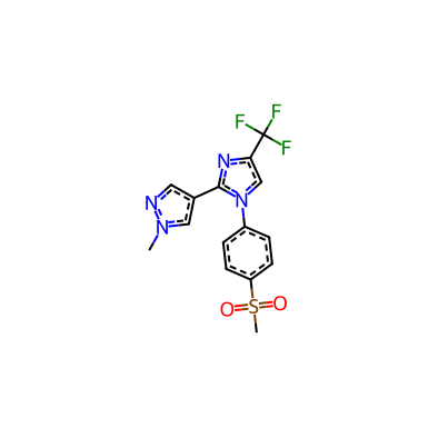 Cn1cc(-c2nc(C(F)(F)F)cn2-c2ccc(S(C)(=O)=O)cc2)cn1